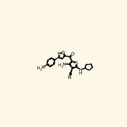 N#Cc1c(NC2CCCC2)sc(C(=O)c2cc(-c3ccc(N)cc3)no2)c1N